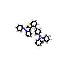 c1ccc(-n2c3ccccc3c3c4c(-c5ccc(-n6c7ccccc7c7ccccc76)cc5)cccc4sc32)cc1